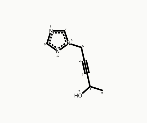 CC(O)C#CCn1cncn1